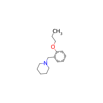 CCCOc1ccccc1CN1CCCCC1